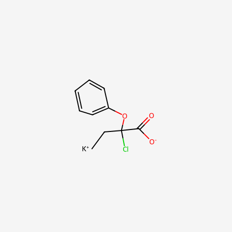 CCC(Cl)(Oc1ccccc1)C(=O)[O-].[K+]